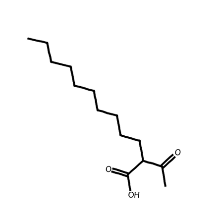 CCCCCCCCCCC(C(C)=O)C(=O)O